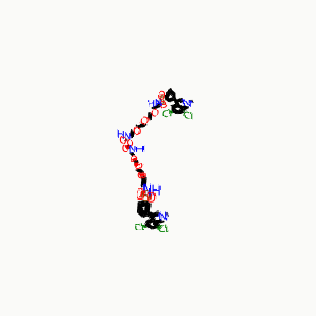 CN1Cc2c(Cl)cc(Cl)cc2C(c2cccc(S(=O)(=O)NCCOCCOCCOCCNC(=O)OC(=O)NCCOCCOCCOCCNS(=O)(=O)c3cccc(C4CN(C)Cc5c(Cl)cc(Cl)cc54)c3)c2)C1